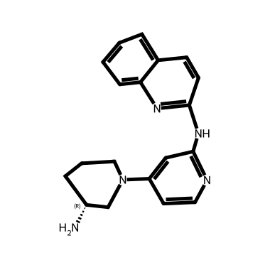 N[C@@H]1CCCN(c2ccnc(Nc3ccc4ccccc4n3)c2)C1